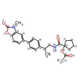 Cn1c(=O)oc2ccc(-c3ccc(C(C#N)CNC(=O)C4(OC(=O)C(F)(F)F)CCCC4)cc3)cc21